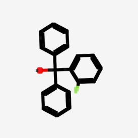 [O]C(c1ccccc1)(c1ccccc1)c1ccccc1F